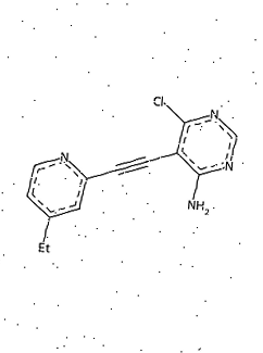 CCc1ccnc(C#Cc2c(N)ncnc2Cl)c1